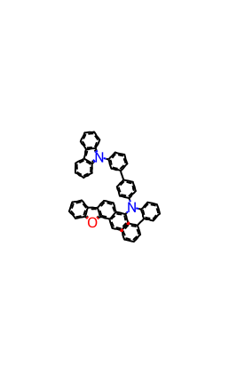 c1ccc(-c2ccccc2N(c2ccc(-c3cccc(-n4c5ccccc5c5ccccc54)c3)cc2)c2cccc3c2ccc2c4ccccc4oc32)cc1